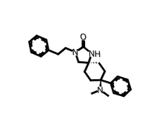 CN(C)[C@]1(c2ccccc2)CC[C@]2(CC1)CN(CCc1ccccc1)C(=O)N2